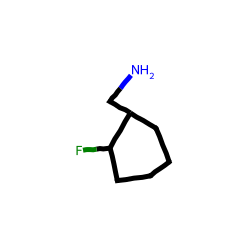 NCC1CCCCC1F